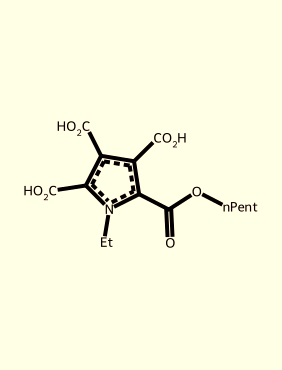 CCCCCOC(=O)c1c(C(=O)O)c(C(=O)O)c(C(=O)O)n1CC